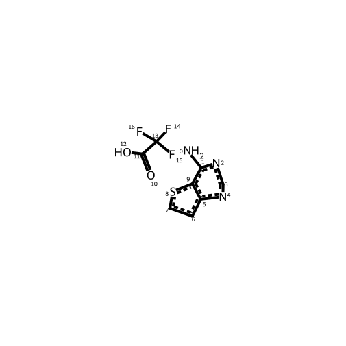 Nc1ncnc2ccsc12.O=C(O)C(F)(F)F